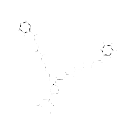 CN(C)CC(N)C1COC(CCCCCCCCOCc2ccccc2)(CCCCCCCCOCc2ccccc2)O1